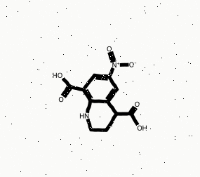 O=C(O)c1cc([N+](=O)[O-])cc2c1NCCC2C(=O)O